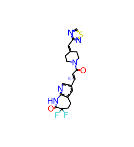 O=C(/C=C/c1cnc2c(c1)CCC(F)(F)C(=O)N2)N1CCC(=Cc2ncsn2)CC1